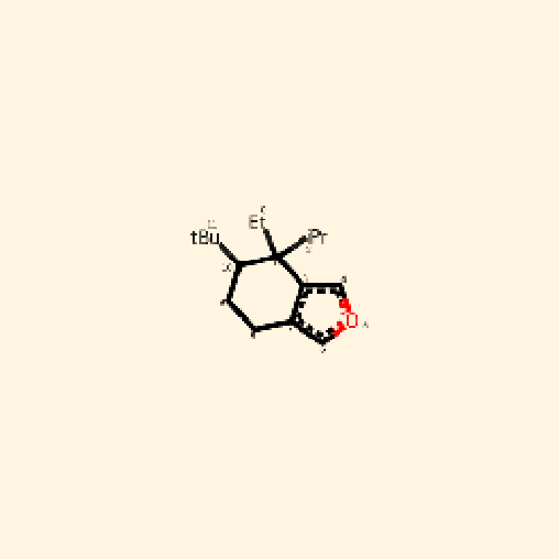 CCC1(C(C)C)c2cocc2CCC1C(C)(C)C